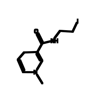 CN1C=CCC(C(=O)NCCI)=C1